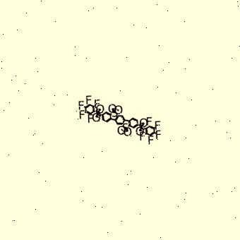 O=S1(=O)c2cc(S(=O)(=O)c3c(F)c(F)c(F)c(F)c3F)ccc2-c2cc3c(cc21)-c1ccc(S(=O)(=O)c2c(F)c(F)c(F)c(F)c2F)cc1S3(=O)=O